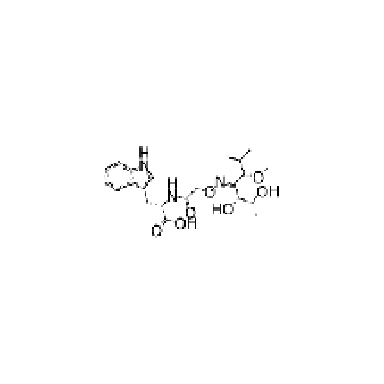 CO[C@H](/C(=N/OCC(=O)N[C@@H](Cc1c[nH]c2ccccc12)C(=O)O)[C@@H](O)[C@@H](C)O)C(C)C